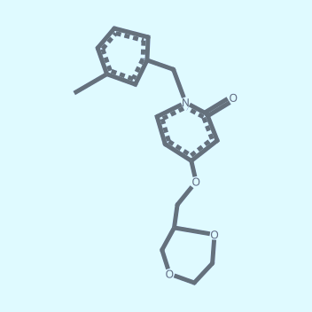 Cc1cccc(Cn2ccc(OCC3COCCO3)cc2=O)c1